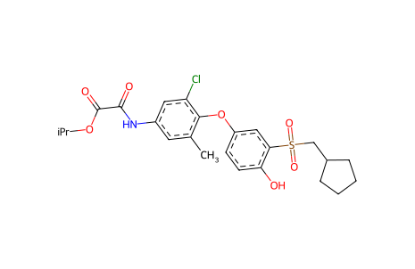 Cc1cc(NC(=O)C(=O)OC(C)C)cc(Cl)c1Oc1ccc(O)c(S(=O)(=O)CC2CCCC2)c1